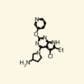 CCc1[nH]c2nc(Oc3cccnc3)nc(N3CCC(N)C3)c2c1Cl